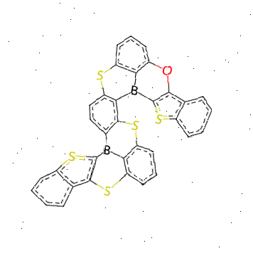 c1cc2c3c(c1)Sc1ccc4c(c1B3c1sc3ccccc3c1O2)Sc1cccc2c1B4c1sc3ccccc3c1S2